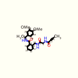 CC#CC(=O)NCC(=O)NCc1ccccc1C(=O)N[C@H](C)c1ccc(OC)c(OC)c1